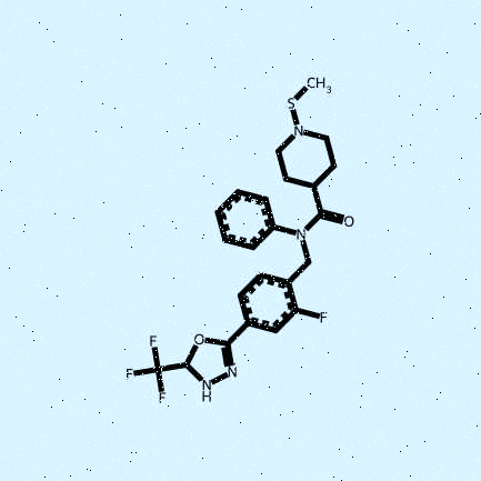 CSN1CCC(C(=O)N(Cc2ccc(C3=NNC(C(F)(F)F)O3)cc2F)c2ccccc2)CC1